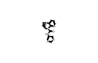 O=C(Nc1cncnc1)N1c2ncccc2N2CCC1C2